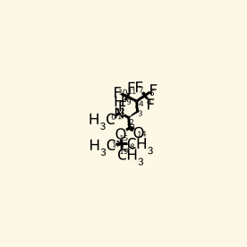 CN[C@@H](CC(C(F)(F)F)C(F)(F)F)C(=O)OC(C)(C)C